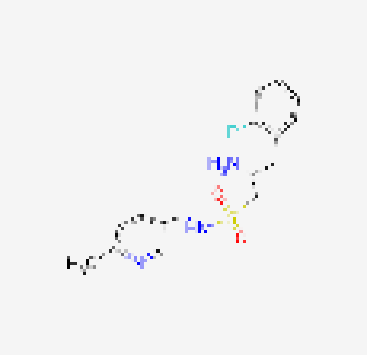 Cc1ccc(CNS(=O)(=O)C[C@H](N)Cc2ccccc2F)cn1